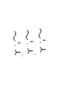 CC(C)[O][Ti]([NH2])[CH2]CO.CC(C)[O][Ti]([NH2])[CH2]CO.CC(C)[O][Ti]([NH2])[CH2]CO